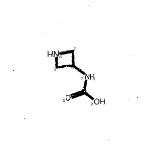 O=C(O)NC1CNC1